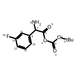 CC(C)(C)OC(=O)OC(=O)C(N)c1cccc(F)c1